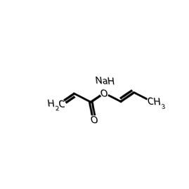 C=CC(=O)OC=CC.[NaH]